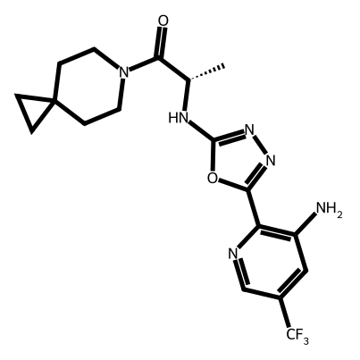 C[C@H](Nc1nnc(-c2ncc(C(F)(F)F)cc2N)o1)C(=O)N1CCC2(CC1)CC2